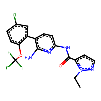 CCn1nccc1C(=O)Nc1ccc(-c2cc(Cl)ccc2OC(F)(F)F)c(N)n1